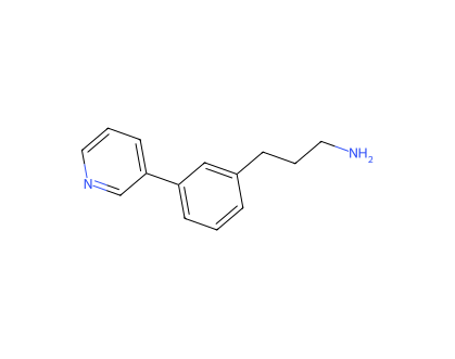 NCCCc1cccc(-c2cccnc2)c1